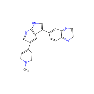 CN1CC=C(c2cnc3[nH]cc(-c4ccc5nccnc5c4)c3c2)CC1